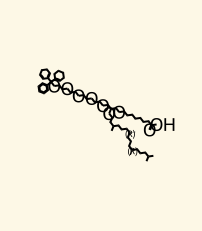 CC(C)CCC[C@@H](C)CCC[C@@H](C)CCCC(C)CCOC(COCCCCCCCC(=O)O)COCCOCCOCCOCCOC(C1=CCCC=C1)(C1=CCCCC1)c1ccccc1